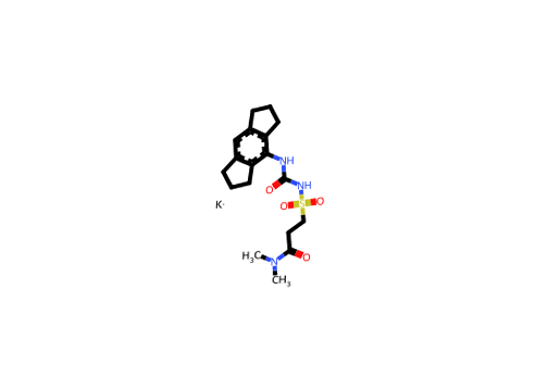 CN(C)C(=O)CCS(=O)(=O)NC(=O)Nc1c2c(cc3c1CCC3)CCC2.[K]